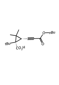 CCCCOC(=O)C#C[C@H]1C(C)(C)[C@]1(C(=O)O)C(C)(C)C